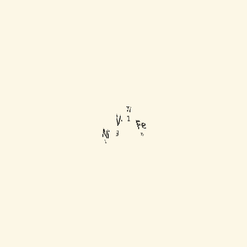 [Fe].[Ni].[Ti].[V]